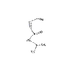 CN(C)NC(=O)/C=C\C=O